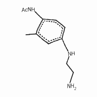 CC(=O)Nc1ccc(NCCN)cc1C